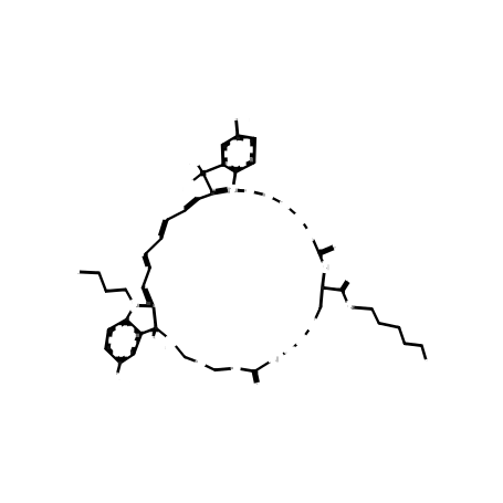 Cc1ccc2c(c1)C(C)(C)C1=[N+]2CCCCCC(=O)NC(C(=O)NCCCCCC(=O)O)CCCCNC(=O)CCCCCC2(C)/C(=C/C=C/C=C/C=C/1)N(CCCS(=O)(=O)O)c1ccc(S(=O)(=O)O)cc12